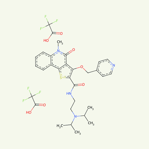 CC(C)N(CCNC(=O)c1sc2c(c1OCc1ccncc1)c(=O)n(C)c1ccccc21)C(C)C.O=C(O)C(F)(F)F.O=C(O)C(F)(F)F